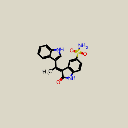 CC(=C1C(=O)Nc2ccc(S(N)(=O)=O)cc21)c1c[nH]c2ccccc12